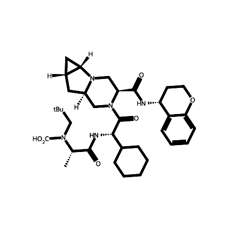 C[C@@H](C(=O)N[C@H](C(=O)N1C[C@H]2C[C@@H]3C[C@@H]3N2C[C@H]1C(=O)N[C@@H]1CCOc2ccccc21)C1CCCCC1)N(CC(C)(C)C)C(=O)O